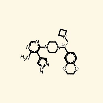 Nc1ncnc(N2CCN([C@H](CN3CCC3)c3ccc4c(c3)OCCO4)CC2)c1-c1cn[nH]c1